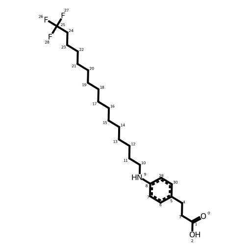 O=C(O)CCc1ccc(NCCCCCCCCCCCCCCCC(F)(F)F)cc1